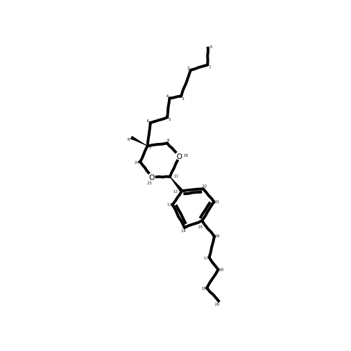 CCCCCCC[C@]1(C)CO[C@@H](c2ccc(CCCCC)cc2)OC1